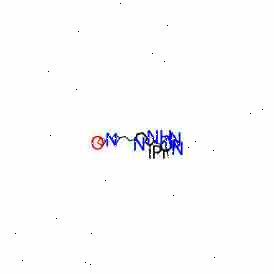 Cc1c(-c2[nH]c3ccc(CCC4CN(C5COC5)C4)nc3c2C(C)C)cn2ncnc2c1C